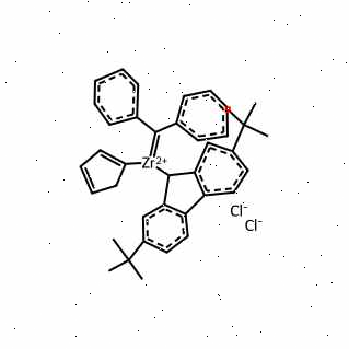 CC(C)(C)c1ccc2c(c1)[CH]([Zr+2]([C]1=CC=CC1)=[C](c1ccccc1)c1ccccc1)c1cc(C(C)(C)C)ccc1-2.[Cl-].[Cl-]